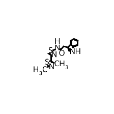 Cc1nc(C)c(-c2csc(NC(=O)Cc3c[nH]c4ccccc34)n2)s1